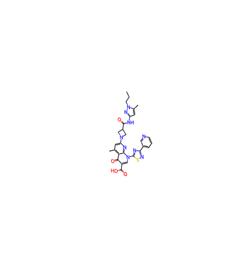 CCCn1nc(NC(=O)C2CN(c3cc(C)c4c(=O)c(C(=O)O)cn(-c5nc(-c6cccnc6)ns5)c4n3)C2)cc1C